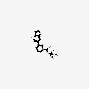 CC(C)(C)OC(=O)N1CCC=C(c2cnc3cc[nH]c3c2)C1